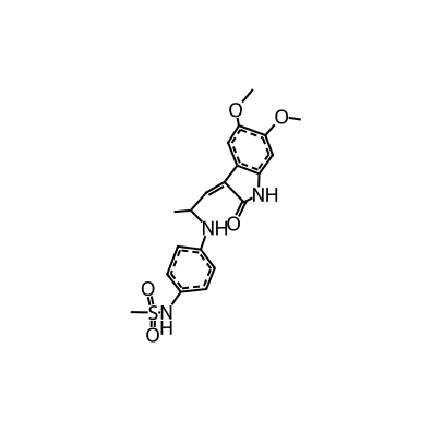 COc1cc2c(cc1OC)C(=CC(C)Nc1ccc(NS(C)(=O)=O)cc1)C(=O)N2